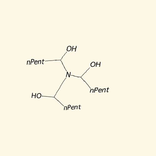 CCCCCC(O)N(C(O)CCCCC)C(O)CCCCC